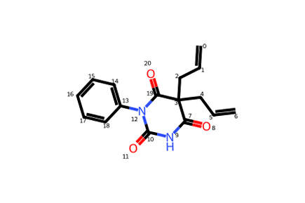 C=CCC1(CC=C)C(=O)NC(=O)N(c2ccccc2)C1=O